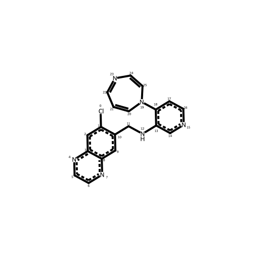 Clc1cc2nccnc2cc1CNc1cnccc1N1C=CC=NC=C1